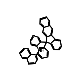 c1ccc(C2(c3ccccc3Nc3cccc4ccccc34)c3ccccc3-c3cc4ccccc4cc32)cc1